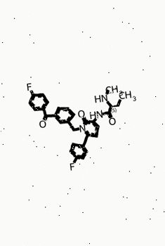 CC[C@H](NC)C(=O)Nc1ccc(-c2ccc(F)cc2)n(Cc2cccc(C(=O)c3ccc(F)cc3)c2)c1=O